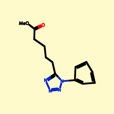 COC(=O)CCCCc1nnnn1-c1ccccc1